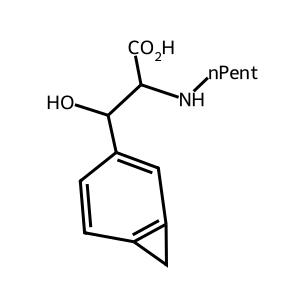 CCCCCNC(C(=O)O)C(O)c1ccc2c(c1)C2